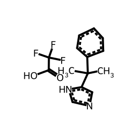 CC(C)(c1ccccc1)c1cnc[nH]1.O=C(O)C(F)(F)F